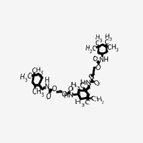 CC1CC(C)(C)CCC1CNC(=O)OCCOC(=O)NC1CC(C)(C)CC(C)(CNC(=O)OCCOC(=O)NC2CC(C)(C)CC(C)(C)C2)C1